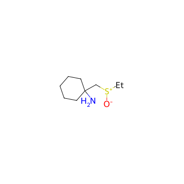 CC[S+]([O-])CC1(N)CCCCC1